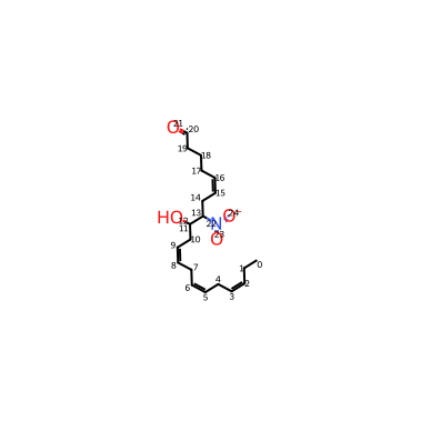 CC/C=C\C/C=C\C/C=C\CC(O)C(C/C=C\CCC[C]=O)[N+](=O)[O-]